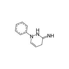 N=C1CC=CN(c2ccccc2)N1